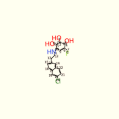 O[C@@H]1[C@@H](O)[C@@H](O)C(CF)=C[C@H]1NCCc1ccc2cc(Cl)ccc2c1